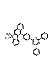 CC1(C)c2ccccc2-c2c1cc1ccccc1c2-c1ccc(-c2nc(-c3ccccc3)nc(-c3ccccc3)n2)cc1